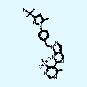 Cc1ncnc(S(C)(=O)=O)c1-c1ncc2cnn(Cc3ccc(-n4nc(C(F)(F)F)cc4C)cc3)c2n1